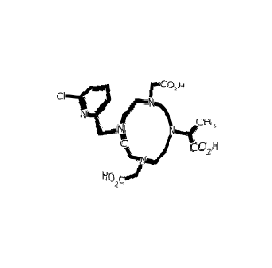 CC(C(=O)O)N1CCN(CC(=O)O)CCN(Cc2cccc(Cl)n2)CCN(CC(=O)O)CC1